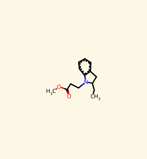 CCC1Cc2ccccc2N1CCC(=O)OC